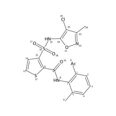 CC(=O)c1cccc(C)c1NC(=O)c1sccc1S(=O)(=O)Nc1onc(C)c1Cl